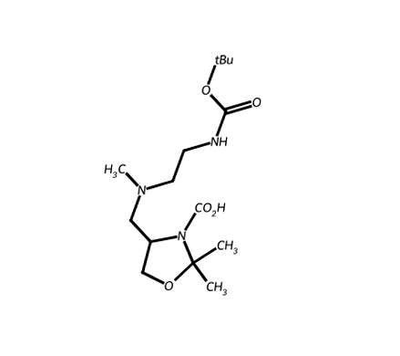 CN(CCNC(=O)OC(C)(C)C)CC1COC(C)(C)N1C(=O)O